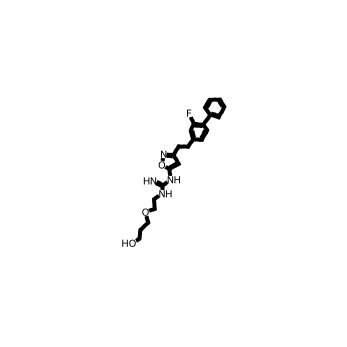 N=C(NCCOCCCO)Nc1cc(CCc2ccc(-c3ccccc3)c(F)c2)no1